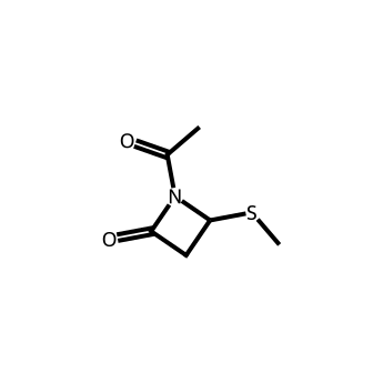 CSC1CC(=O)N1C(C)=O